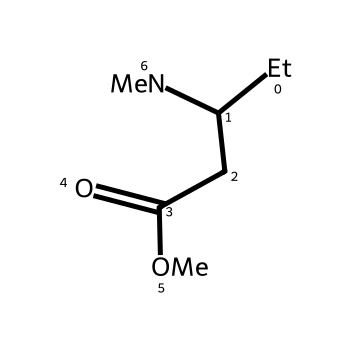 CCC(CC(=O)OC)NC